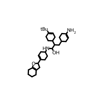 CC(C)(C)C1=CCC(C(CC2CC=C(N)CC2)C(O)NC2CC=C(C3CC4=C(CCCC4)O3)CC2)CC1